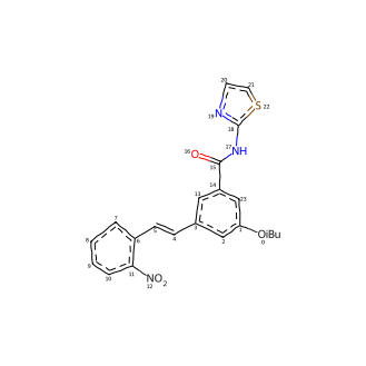 CC(C)COc1cc(/C=C/c2ccccc2[N+](=O)[O-])cc(C(=O)Nc2nccs2)c1